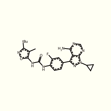 Cc1c(C(C)(C)C)noc1NC(=O)Nc1ccc(-c2nn(C3CC3)c3ncnc(N)c23)cc1F